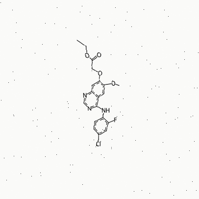 CCOC(=O)COc1cc2ncnc(Nc3ccc(Cl)cc3F)c2cc1OC